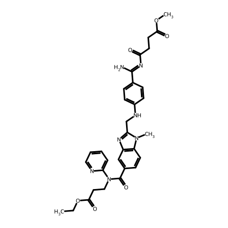 CCOC(=O)CCN(C(=O)c1ccc2c(c1)nc(CNc1ccc(/C(N)=N/C(=O)CCC(=O)OC)cc1)n2C)c1ccccn1